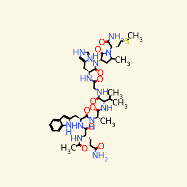 CSCC[C@@H](C(N)=O)N1C(=O)[C@@H](NC(=O)[C@H](Cc2c[nH]cn2)NC(=O)CNC(=O)[C@@H](NC(=O)[C@H](C)NC(=O)[C@H](Cc2cc3ccccc3[nH]2)NC(=O)[C@H](CCC(N)=O)NC(C)=O)C(C)C)CC1C